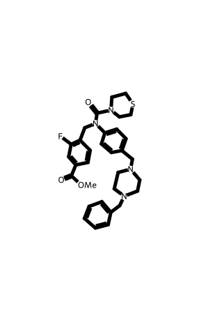 COC(=O)c1ccc(CN(C(=O)N2CCSCC2)c2ccc(CN3CCN(Cc4ccccc4)CC3)cc2)c(F)c1